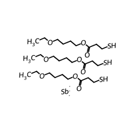 CCOCCCCOC(=O)CCS.CCOCCCCOC(=O)CCS.CCOCCCCOC(=O)CCS.[Sb]